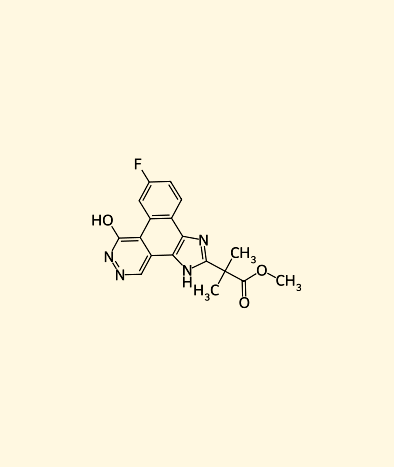 COC(=O)C(C)(C)c1nc2c3ccc(F)cc3c3c(O)nncc3c2[nH]1